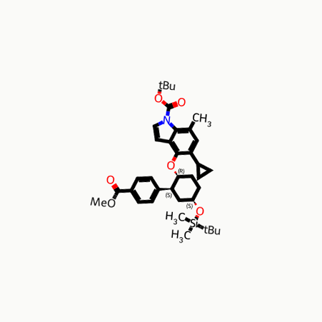 COC(=O)c1ccc([C@@H]2C[C@@H](O[Si](C)(C)C(C)(C)C)CC[C@H]2Oc2c(C3CC3)cc(C)c3c2ccn3C(=O)OC(C)(C)C)cc1